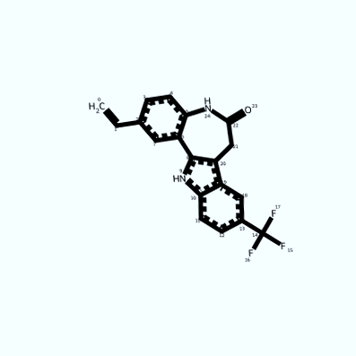 C=Cc1ccc2c(c1)-c1[nH]c3ccc(C(F)(F)F)cc3c1CC(=O)N2